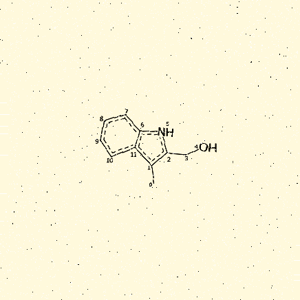 Cc1c(CO)[nH]c2ccccc12